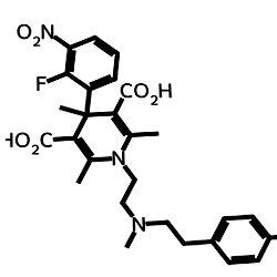 CC1=C(C(=O)O)C(C)(c2cccc([N+](=O)[O-])c2F)C(C(=O)O)=C(C)N1CCN(C)CCc1ccc(C)cc1